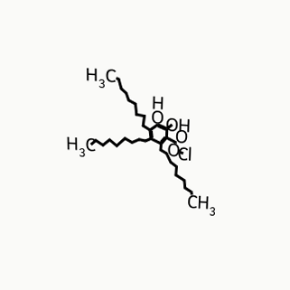 CCCCCCCCCc1c(O)c(O)c(C(=O)OCl)c(CCCCCCCCC)c1CCCCCCCCC